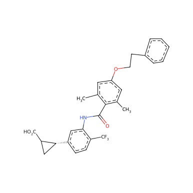 Cc1cc(OCCc2ccccc2)cc(C)c1C(=O)Nc1cc([C@@H]2CC2C(=O)O)ccc1C(F)(F)F